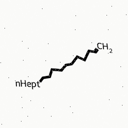 [CH2]CCCCCCCCCCCCCCCC=C